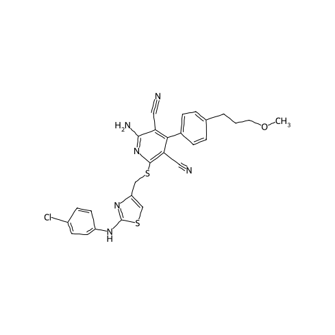 COCCCc1ccc(-c2c(C#N)c(N)nc(SCc3csc(Nc4ccc(Cl)cc4)n3)c2C#N)cc1